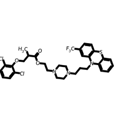 CC(COc1c(Cl)cccc1Cl)C(=O)OCCN1CCN(CCCN2c3ccccc3Sc3ccc(C(F)(F)F)cc32)CC1